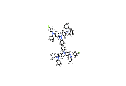 Fc1ccc(-n2c3ccccc3c3cc(N(c4ccc(-c5ccc(N(c6ccc(N(c7ccccc7)c7ccccc7)cc6)c6ccc7c(c6)c6ccccc6n7-c6ccc(F)cc6)cc5)cc4)c4ccc(N(c5ccccc5)c5ccccc5)cc4)ccc32)cc1